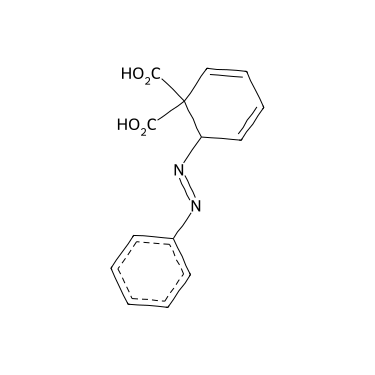 O=C(O)C1(C(=O)O)C=CC=CC1/N=N/c1ccccc1